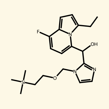 CCc1ccc2c(F)ccc(C(O)c3nccn3COCC[Si](C)(C)C)n12